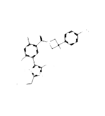 CC(=O)OCc1nc(C(F)(F)F)c(-c2cc(C(=O)N3CC(F)(c4ccc(C#N)cc4)C3)c(C)cc2C)[nH]1